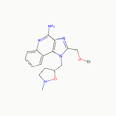 CCOCc1nc2c(N)nc3ccccc3c2n1CC1CCN(C)O1